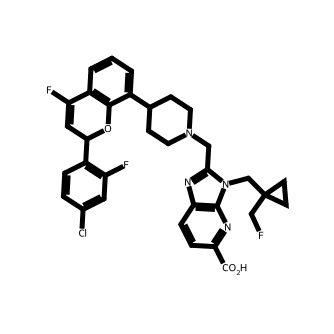 O=C(O)c1ccc2nc(CN3CCC(c4cccc5c4OC(c4ccc(Cl)cc4F)C=C5F)CC3)n(CC3(CF)CC3)c2n1